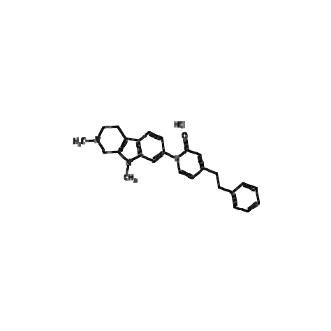 CN1CCc2c(n(C)c3cc(-n4ccc(CCc5ccccc5)cc4=O)ccc23)C1.Cl